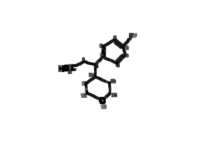 O=C(O)CC(c1ccc(F)cc1)C1CCOCC1